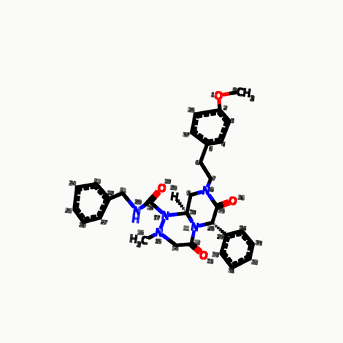 COc1ccc(CCN2C[C@H]3N(C(=O)CN(C)N3C(=O)NCc3ccccc3)[C@@H](c3ccccc3)C2=O)cc1